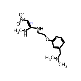 CN/C(=C\[N+](=O)[O-])NCCOc1cccc(CN(C)C)c1